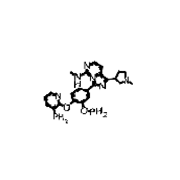 CNc1nccc2c(C3CCN(C)C3)nc(-c3ccc(Oc4ncccc4P)c(OP)c3)n12